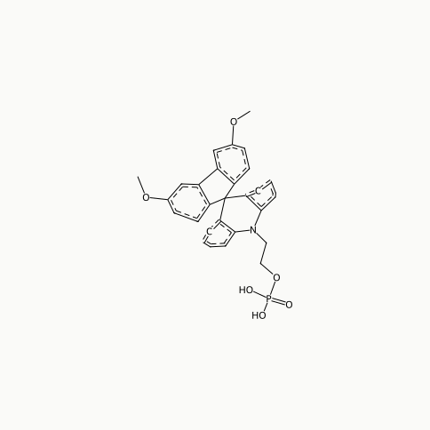 COc1ccc2c(c1)-c1cc(OC)ccc1C21c2ccccc2N(CCOP(=O)(O)O)c2ccccc21